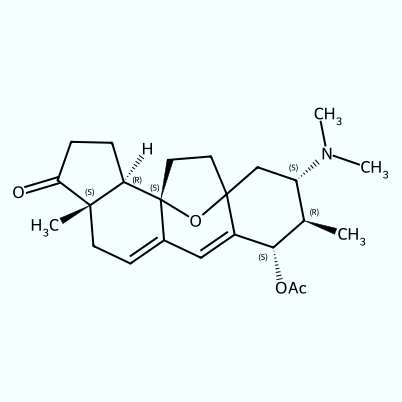 CC(=O)O[C@@H]1C2=CC3=CC[C@]4(C)C(=O)CC[C@H]4[C@@]34CCC2(C[C@H](N(C)C)[C@H]1C)O4